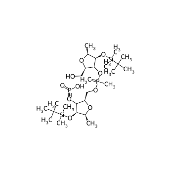 C=P(C)(OC[C@H]1O[C@@H](C)[C@@H](O[Si](C)(C)C(C)(C)C)C1O[PH](=O)O)OC1[C@@H](CO)O[C@@H](C)[C@H]1O[Si](C)(C)C(C)(C)C